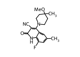 COC1(C)CCN(c2c(C#N)c(=O)[nH]c3c(F)cc(C)cc23)CC1